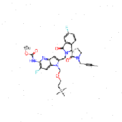 CC#CCN1CC[C@@]2(C1=O)c1ccc(F)cc1C(=O)N2Cc1cc2nc(NC(=O)OC(C)(C)C)c(F)cc2n1COCC[Si](C)(C)C